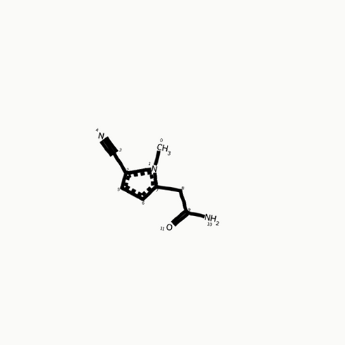 Cn1c(C#N)ccc1CC(N)=O